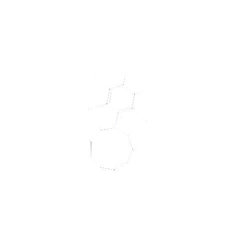 CC(C)c1c(F)c(F)c(F)c(F)c1N1CC/C=C\CCCC1